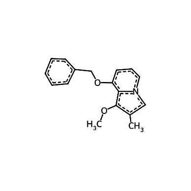 COc1c(C)cn2cccc(OCc3ccccc3)c12